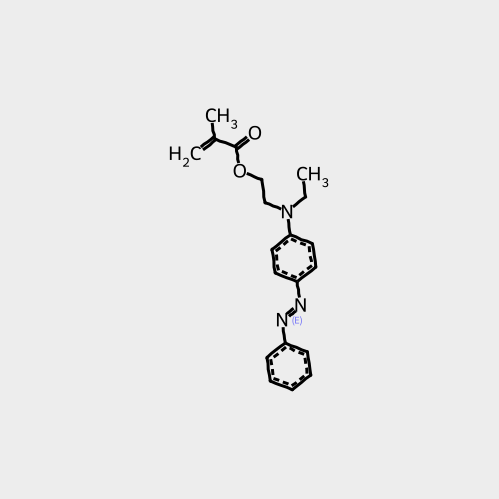 C=C(C)C(=O)OCCN(CC)c1ccc(/N=N/c2ccccc2)cc1